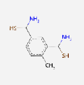 Cc1ccc(C(N)S)cc1C(N)S